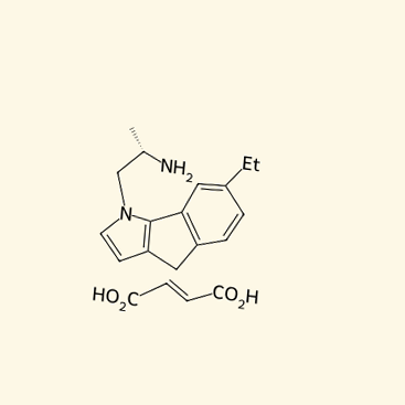 CCc1ccc2c(c1)-c1c(ccn1C[C@H](C)N)C2.O=C(O)/C=C/C(=O)O